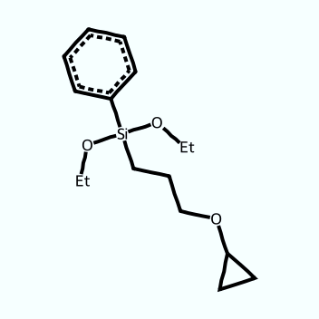 CCO[Si](CCCOC1CC1)(OCC)c1ccccc1